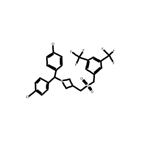 O=S(=O)(Cc1cc(C(F)(F)F)cc(C(F)(F)F)c1)CC1CN(C(c2ccc(Cl)cc2)c2ccc(Cl)cc2)C1